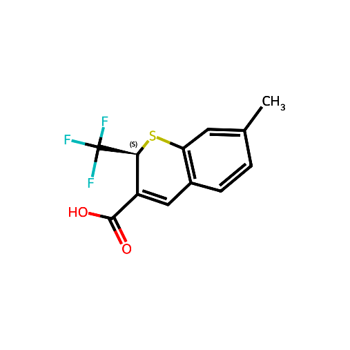 Cc1ccc2c(c1)S[C@H](C(F)(F)F)C(C(=O)O)=C2